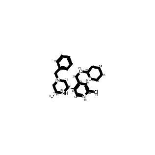 C[C@@H]1CN(Cc2ccccc2)C[C@H](c2cnc(Cl)cc2COC2CCCCO2)N1